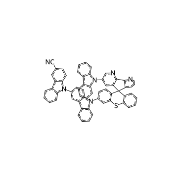 N#Cc1ccc2c(c1)c1ccccc1n2-c1ccc2c(c1)c1ccccc1n2-c1ccc2c(c1)Sc1ccccc1C21c2cccnc2-c2ncc(-n3c4ccccc4c4ccccc43)cc21